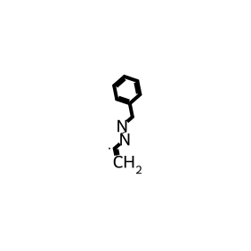 C=[C]N=NCc1ccccc1